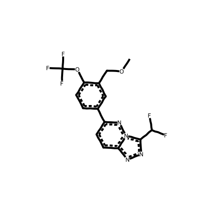 COCc1cc(-c2ccc3nnc(C(F)F)n3n2)ccc1OC(F)(F)F